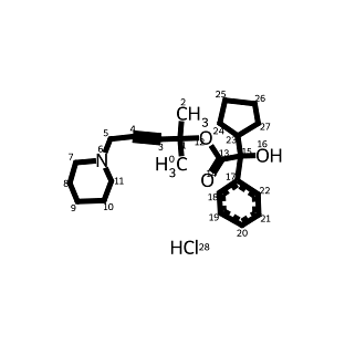 CC(C)(C#CCN1CCCCC1)OC(=O)C(O)(c1ccccc1)C1CCCC1.Cl